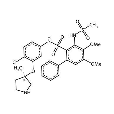 COc1cc(-c2ccccc2)c(S(=O)(=O)Nc2ccc(Cl)c(O[C@]3(C)CCNC3)c2)c(NS(C)(=O)=O)c1OC